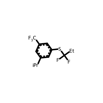 CCC(F)(F)Sc1cc(C(C)C)cc(C(F)(F)F)c1